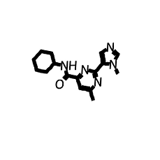 Cc1cc(C(=O)NC2CCCCC2)nc(-c2cncn2C)n1